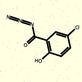 [N-]=[N+]=NC(=O)c1cc(Cl)ccc1O